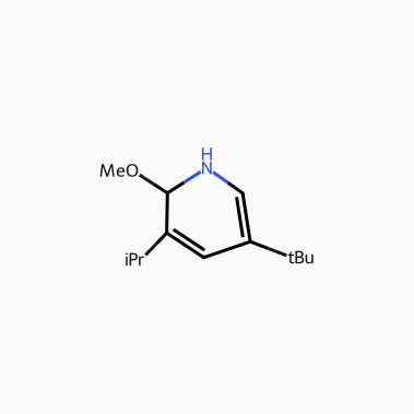 COC1NC=C(C(C)(C)C)C=C1C(C)C